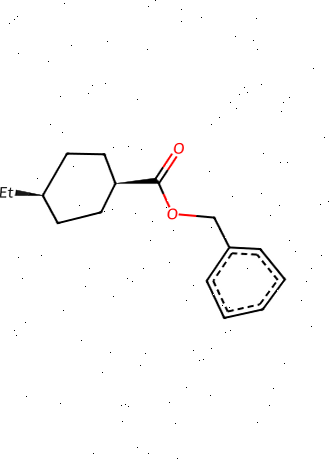 CC[C@H]1CC[C@@H](C(=O)OCc2ccccc2)CC1